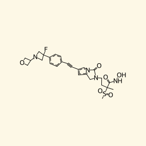 CC(CCN1Cc2cc(C#Cc3ccc(C4(F)CN(C5COC5)C4)cc3)cn2C1=O)(C(=O)NO)S(C)(=O)=O